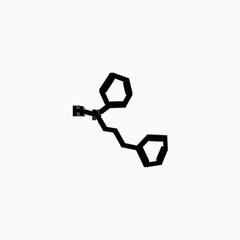 CCN(CCCc1ccccc1)c1ccccc1